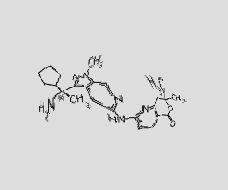 Cn1nc([C@](C)(N)C2CCCC2)c2cc(Nc3ccc4c(n3)CC(C)(C)OC4=O)ncc21